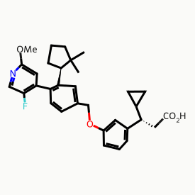 COc1cc(-c2ccc(COc3cccc([C@@H](CC(=O)O)C4CC4)c3)cc2[C@H]2CCCC2(C)C)c(F)cn1